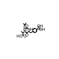 CC(NC(=O)C(Cc1ccc(B(O)O)cc1)NC(=O)OC(C)(C)C)C(=O)O